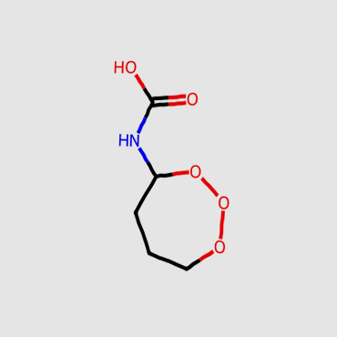 O=C(O)NC1CCCOOO1